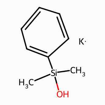 C[Si](C)(O)c1ccccc1.[K]